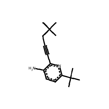 CC(C)(C)CC#Cc1nc(C(C)(C)C)ccc1N